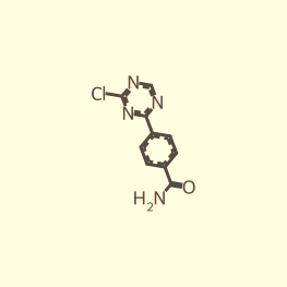 NC(=O)c1ccc(-c2ncnc(Cl)n2)cc1